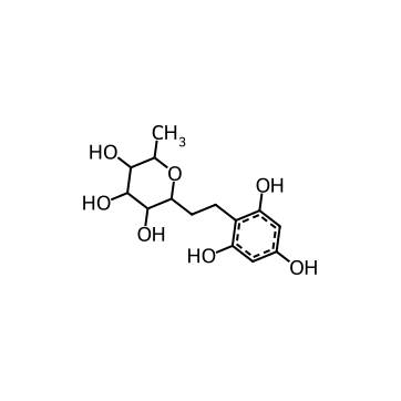 CC1OC(CCc2c(O)cc(O)cc2O)C(O)C(O)C1O